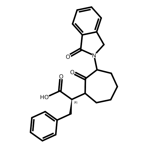 O=C1C([C@@H](Cc2ccccc2)C(=O)O)CCCCC1N1Cc2ccccc2C1=O